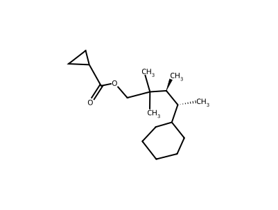 C[C@H](C1CCCCC1)[C@H](C)C(C)(C)COC(=O)C1CC1